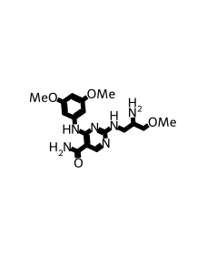 COCC(N)CNc1ncc(C(N)=O)c(Nc2cc(OC)cc(OC)c2)n1